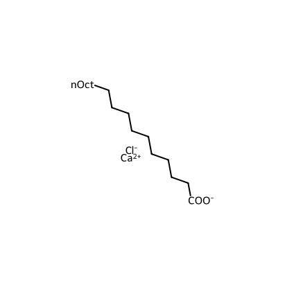 CCCCCCCCCCCCCCCCCC(=O)[O-].[Ca+2].[Cl-]